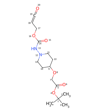 CC(C)(C)OC(=O)COC1CCN(NC(=O)OCC=C=O)CC1